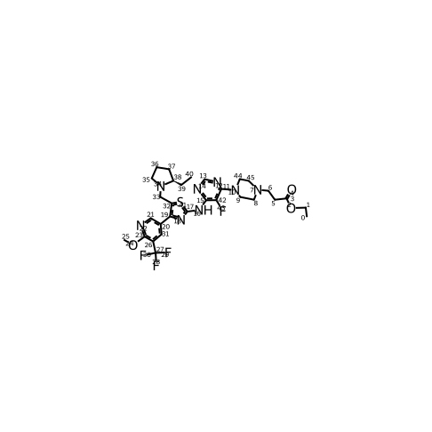 CCOC(=O)CCN1CCN(c2ncnc(Nc3nc(-c4cnc(OC)c(C(F)(F)F)c4)c(CN4CCC[C@H]4CC)s3)c2F)CC1